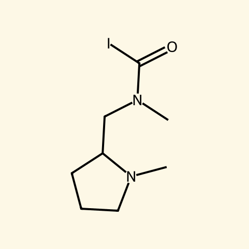 CN(CC1CCCN1C)C(=O)I